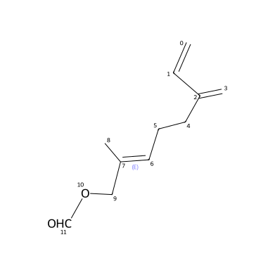 C=CC(=C)CC/C=C(\C)COC=O